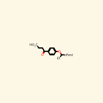 CCCCCC(CC)Oc1ccc(C(=O)CCC(=O)O)cc1